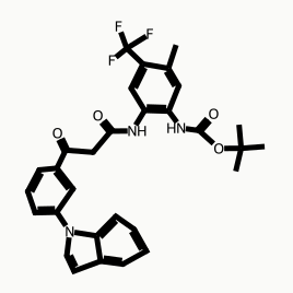 Cc1cc(NC(=O)OC(C)(C)C)c(NC(=O)CC(=O)c2cccc(-n3ccc4ccccc43)c2)cc1C(F)(F)F